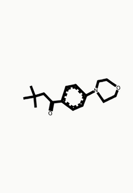 CC(C)(C)CC(=O)c1ccc(N2CCOCC2)cc1